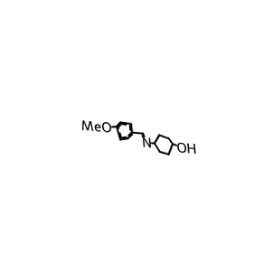 COc1ccc(C=NC2CCC(O)CC2)cc1